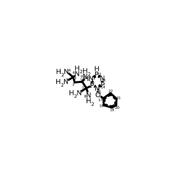 NC(CC(N)(N)N)C(N)(N)p1[nH][pH]npn1Oc1ccccc1